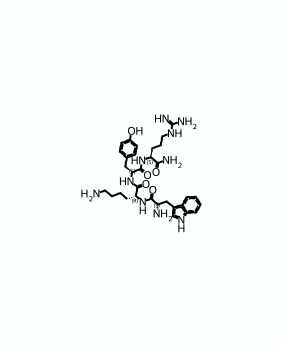 N=C(N)NCCC[C@H](NC(=O)[C@H](Cc1ccc(O)cc1)NC(=O)[C@@H](CCCCN)NC(=O)[C@@H](N)Cc1c[nH]c2ccccc12)C(N)=O